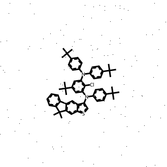 CC(C)(C)c1ccc(N(c2ccc(C(C)(C)C)cc2)c2cc(C(C)(C)C)cc(N(c3ccc(C(C)(C)C)cc3)c3csc4cc5c(cc34)-c3ccccc3C5(C)C)c2Cl)cc1